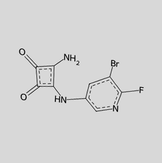 Nc1c(Nc2cnc(F)c(Br)c2)c(=O)c1=O